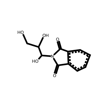 O=C1c2ccccc2C(=O)N1C(O)C(O)CO